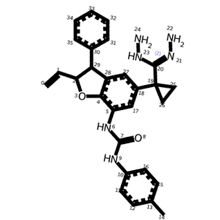 C=CC1Oc2c(NC(=O)Nc3ccc(C)cc3)cc(C3(/C(=N/N)NN)CC3)cc2C1c1ccccc1